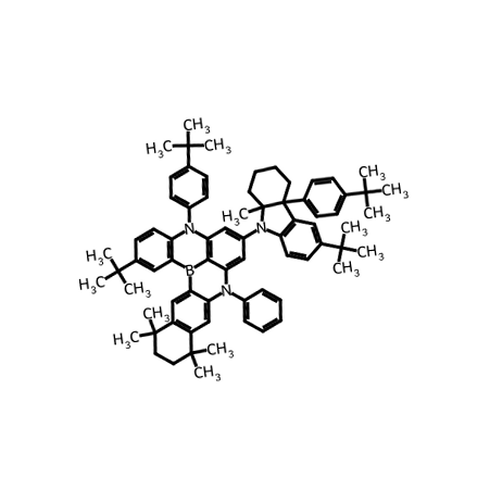 CC(C)(C)c1ccc(N2c3ccc(C(C)(C)C)cc3B3c4cc5c(cc4N(c4ccccc4)c4cc(N6c7ccc(C(C)(C)C)cc7C7(c8ccc(C(C)(C)C)cc8)CCCCC67C)cc2c43)C(C)(C)CCC5(C)C)cc1